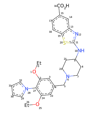 CCOc1cc(CN2CCC(Nc3nc4cc(C(=O)O)ccc4s3)CC2)cc(OCC)c1-n1cccc1